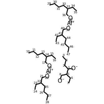 CCCC([O-])C(CC)C[O-].CCCCC(CC)C[O][Al+][O]CC(CC)CCCC.CCCCC(CC)C[O][Al+][O]CC(CC)CCCC